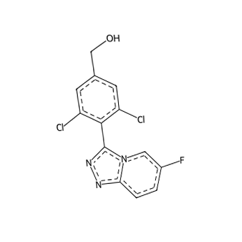 OCc1cc(Cl)c(-c2nnc3ccc(F)cn23)c(Cl)c1